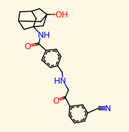 N#Cc1cccc(C(=O)CNCc2ccc(C(=O)NC34CC5CC(CC(O)(C5)C3)C4)cc2)c1